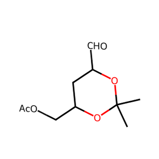 CC(=O)OCC1CC(C=O)OC(C)(C)O1